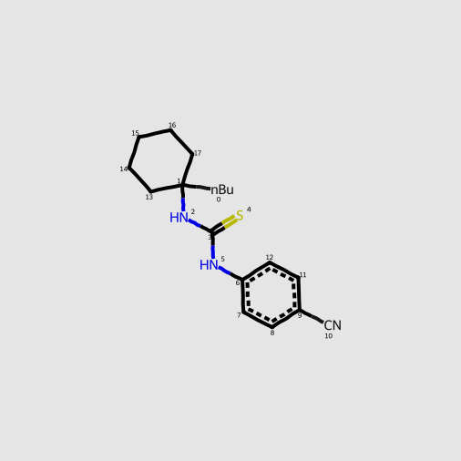 CCCCC1(NC(=S)Nc2ccc(C#N)cc2)CCCCC1